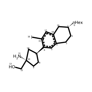 CCCCCC[C@@H]1CCc2cc([C@H]3CC[C@@](N)(CO)C3)c(I)cc2C1